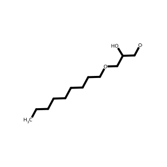 CCCCCCCCCOCC(O)C[O]